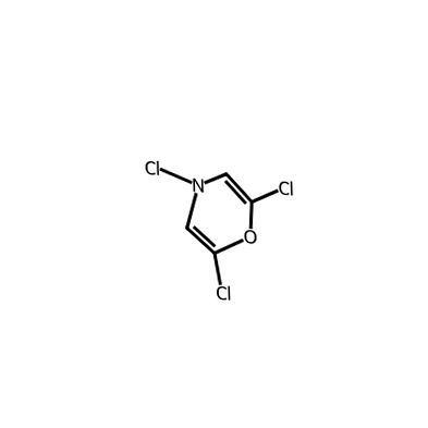 ClC1=CN(Cl)C=C(Cl)O1